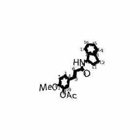 COc1ccc(C=CC(=O)NC2CCc3ccccc32)cc1OC(C)=O